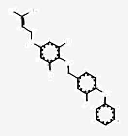 Fc1cc(COc2c(Cl)cc(OCC=C(Cl)Cl)cc2Cl)ccc1Oc1ccccc1